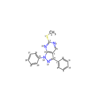 CSc1ncc2c(-c3ccccc3)nn(-c3ccccc3)c2n1